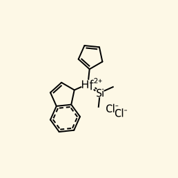 C[Si](C)=[Hf+2]([C]1=CC=CC1)[CH]1C=Cc2ccccc21.[Cl-].[Cl-]